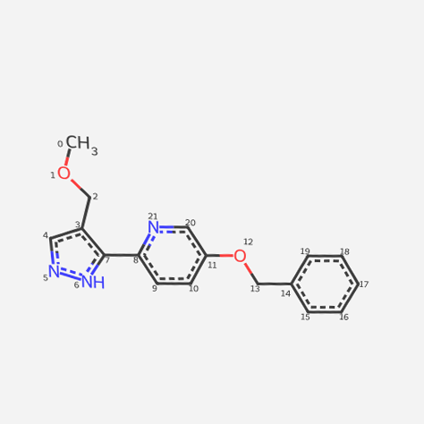 COCc1cn[nH]c1-c1ccc(OCc2ccccc2)cn1